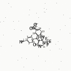 N#Cc1ccc2c(c1)Oc1ncn(C(F)(F)F)c(=N)c1C2c1cccc([N+](=O)[O-])c1